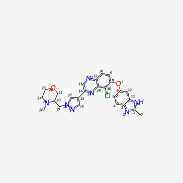 Cc1nc2ccc(Oc3ccc4ncc(-c5cnn(CC6COCCN6C)c5)nc4c3Cl)cc2[nH]1